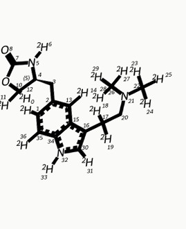 [2H]c1c(C[C@@H]2N([2H])C(=O)OC2([2H])[2H])c([2H])c2c(C([2H])([2H])CN(C([2H])([2H])[2H])C([2H])([2H])[2H])c([2H])n([2H])c2c1[2H]